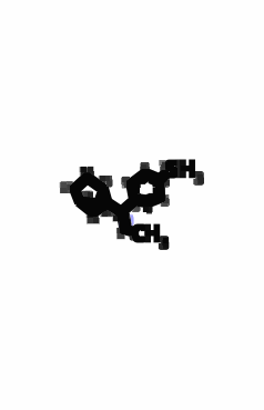 C/C=C(\c1ccc([SiH3])cc1)C1CC2CCC1C2